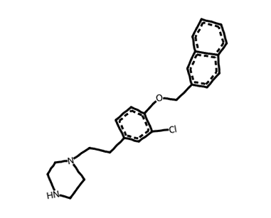 Clc1cc(CCN2CCNCC2)ccc1OCc1ccc2ccccc2c1